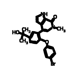 Cn1cc(-c2cc(C(C)(C)O)ccc2Oc2ccc(Br)cc2)c2cc[nH]c2c1=O